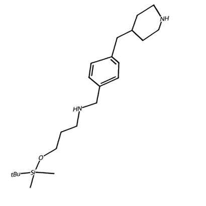 CC(C)(C)[Si](C)(C)OCCCNCc1ccc(CC2CCNCC2)cc1